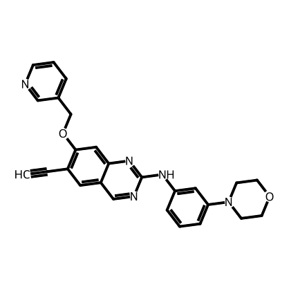 C#Cc1cc2cnc(Nc3cccc(N4CCOCC4)c3)nc2cc1OCc1cccnc1